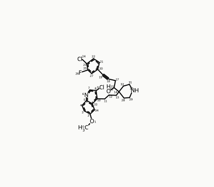 COc1ccc2ncc(Cl)c(CCCC3(C(O)CC#Cc4ccc(Cl)c(F)c4)CCNCC3)c2c1